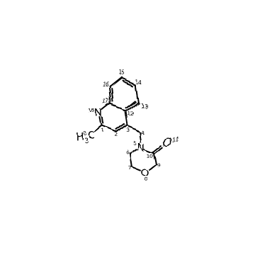 Cc1cc(CN2CCOCC2=O)c2ccccc2n1